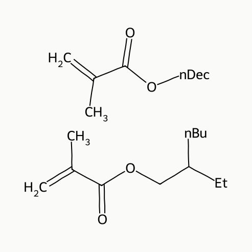 C=C(C)C(=O)OCC(CC)CCCC.C=C(C)C(=O)OCCCCCCCCCC